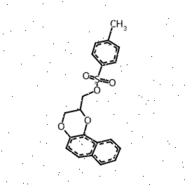 Cc1ccc(S(=O)(=O)OCC2COc3ccc4ccccc4c3O2)cc1